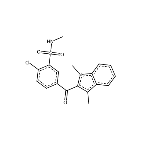 CNS(=O)(=O)c1cc(C(=O)c2c(C)c3ccccc3n2C)ccc1Cl